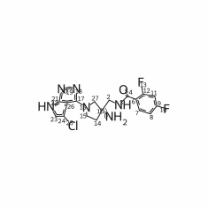 N[C@]1(CNC(=O)c2ccc(F)cc2F)CCN(c2ncnc3[nH]cc(Cl)c23)C1